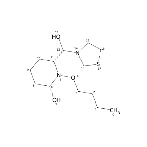 CCCCON1[C@H](O)CCC[C@@H]1C(O)N1CCSC1